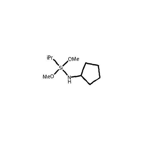 CO[Si](NC1CCCC1)(OC)C(C)C